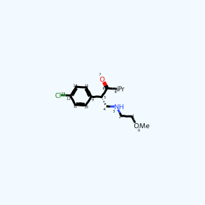 COCCNC[C@@H](C(=O)C(C)C)c1ccc(Cl)cc1